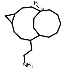 NCCC1CCC2CC2CC[C@H]2CCCCCC1CC2